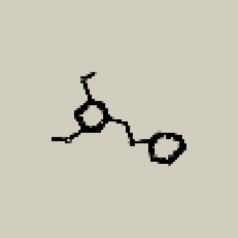 COc1cc(COc2c[c]ccc2)cc(OC)c1